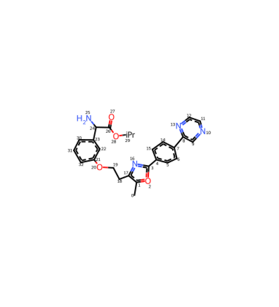 Cc1oc(-c2ccc(-c3cnccn3)cc2)nc1CCOc1[c]c(C(N)C(=O)OC(C)C)ccc1